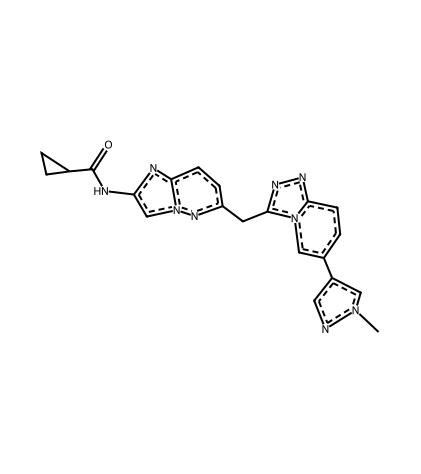 Cn1cc(-c2ccc3nnc(Cc4ccc5nc(NC(=O)C6CC6)cn5n4)n3c2)cn1